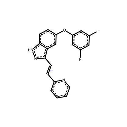 Fc1cc(F)cc(Oc2ccc3[nH]nc(/C=C/c4ccccn4)c3c2)c1